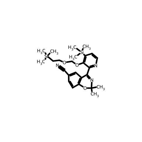 CC1(C)N=C(c2nccc([Si](C)(C)C)c2OCOCC[Si](C)(C)C)c2cc(C#N)ccc2O1